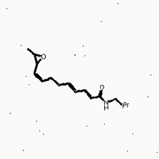 CC(C)CNC(=O)/C=C/C=C/CC/C=C\C1OC1C